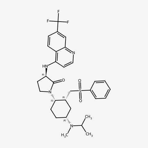 CC(C)N(C)[C@@H]1CC[C@H](N2CC[C@@H](Nc3ccnc4cc(C(F)(F)F)ccc34)C2=O)[C@H](CS(=O)(=O)c2ccccc2)C1